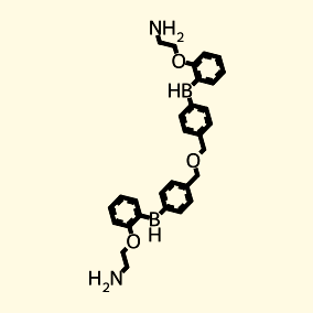 NCCOc1ccccc1Bc1ccc(COCc2ccc(Bc3ccccc3OCCN)cc2)cc1